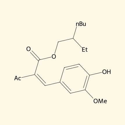 CCCCC(CC)COC(=O)C(=Cc1ccc(O)c(OC)c1)C(C)=O